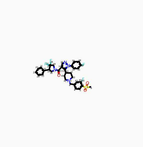 CS(=O)(=O)c1ccc(CN2CCC(c3c(C(=O)N4CC(c5ccccc5)C(F)(F)C4)cnn3-c3ccc(F)cc3)CC2)cc1F